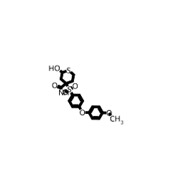 COc1ccc(Oc2ccc(S(=O)(=O)C3(C(N)=O)CCSC(O)C3)cc2)cc1